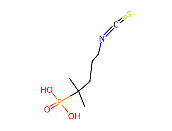 CC(C)(CCCN=C=S)P(=O)(O)O